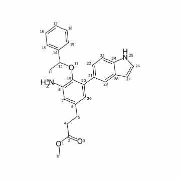 COC(=O)CCc1cc(N)c(OC(C)c2ccccc2)c(-c2ccc3[nH]ccc3c2)c1